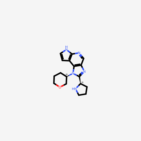 c1cc2c(ncc3nc([C@H]4CCCN4)n([C@@H]4CCCOC4)c32)[nH]1